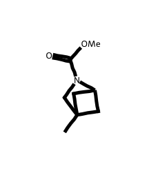 COC(=O)N1CC2(C)CC1C2